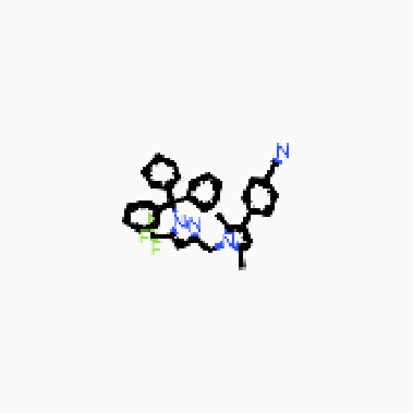 Cc1cc(-c2ccc(C#N)cc2)c(C)n1Cc1cc(C(F)(F)F)n(C(c2ccccc2)(c2ccccc2)c2ccccc2)n1